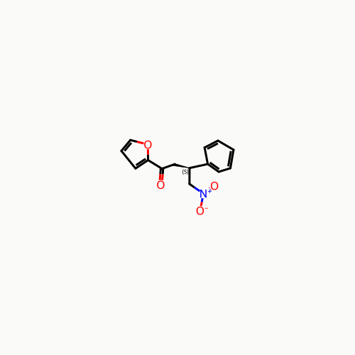 O=C(C[C@H](C[N+](=O)[O-])c1ccccc1)c1ccco1